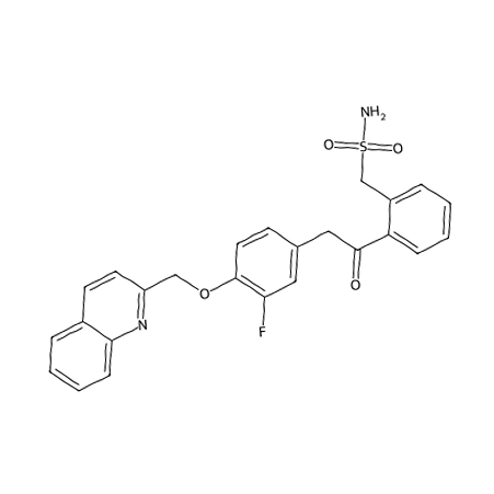 NS(=O)(=O)Cc1ccccc1C(=O)Cc1ccc(OCc2ccc3ccccc3n2)c(F)c1